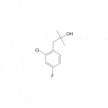 CC(C)(O)Cc1ccc(F)cc1Cl